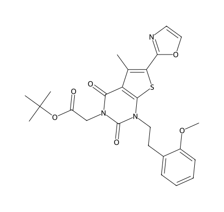 COc1ccccc1CCn1c(=O)n(CC(=O)OC(C)(C)C)c(=O)c2c(C)c(-c3ncco3)sc21